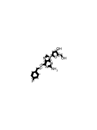 Nc1nc(SSCc2ccc(F)cc2)c2ncn([C@H]3C[C@H](O)[C@@H](CO)O3)c2n1